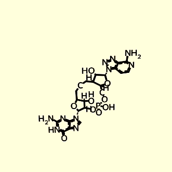 Nc1nc2c(ncn2[C@@H]2OC3CCC[C@H]4[C@@H](O)[C@H](n5nnc6c(N)nccc65)O[C@@H]4COP(=O)(O)O[C@@H]2[C@@H]3O)c(=O)[nH]1